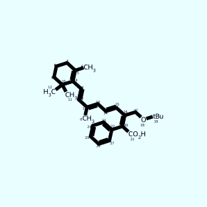 CC(C=CC1=C(C)CCCC1(C)C)=CC=CC(COC(C)(C)C)=C(C(=O)O)c1ccccc1